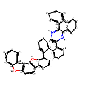 c1ccc(-c2ccccc2-c2cccc3c2oc2c3ccc3oc4ccccc4c32)c(-c2cnc3c4ccccc4c4ccccc4c3n2)c1